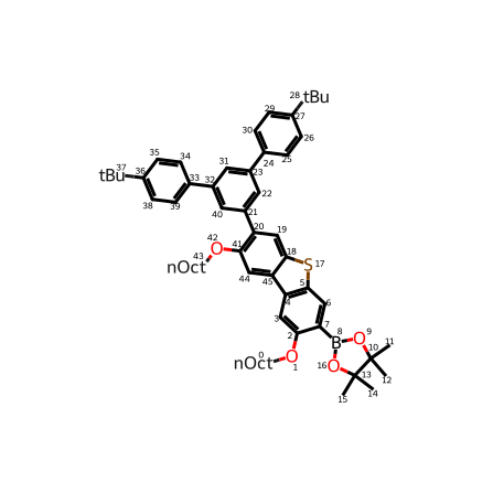 CCCCCCCCOc1cc2c(cc1B1OC(C)(C)C(C)(C)O1)sc1cc(-c3cc(-c4ccc(C(C)(C)C)cc4)cc(-c4ccc(C(C)(C)C)cc4)c3)c(OCCCCCCCC)cc12